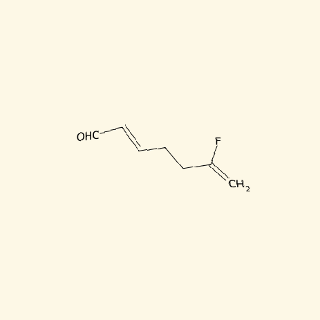 C=C(F)CCC=CC=O